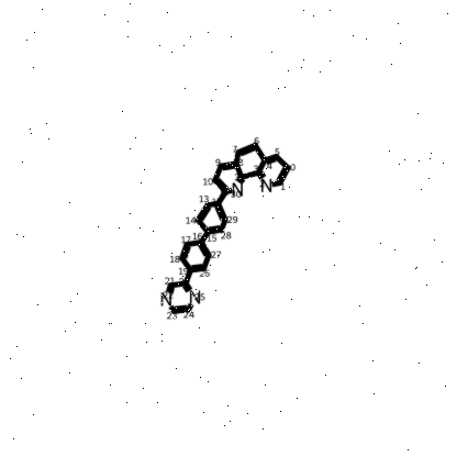 c1cnc2c(c1)ccc1ccc(-c3ccc(-c4ccc(-c5cnccn5)cc4)cc3)nc12